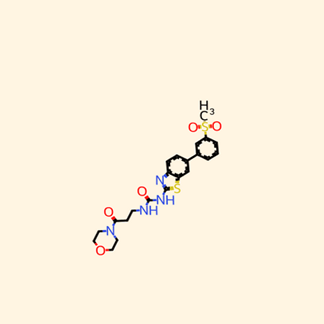 CS(=O)(=O)c1cccc(-c2ccc3nc(NC(=O)NCCC(=O)N4CCOCC4)sc3c2)c1